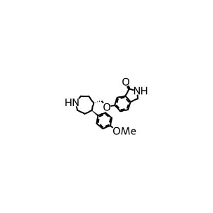 COc1ccc([C@H]2CCNCC[C@@H]2COc2ccc3c(c2)C(=O)NC3)cc1